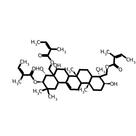 C/C=C(/C)C(=O)OCC12C(CC(C)(C)[C@@H](OC(=O)/C(C)=C\C)[C@@H]1O)C1=CCC3[C@@](C)(CCC4[C@]3(C)CC[C@H](O)[C@]4(C)COC(=O)/C(C)=C\C)C1C[C@H]2O